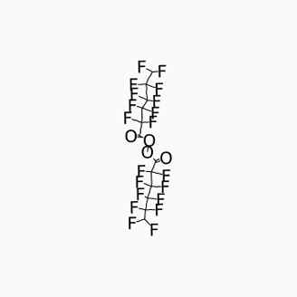 O=C(OOC(=O)C(F)(F)C(F)(F)C(F)(F)C(F)(F)C(F)F)C(F)(F)C(F)(F)C(F)(F)C(F)(F)C(F)F